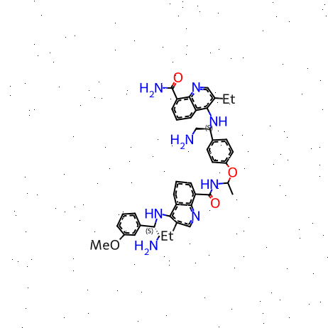 CCc1cnc2c(C(N)=O)cccc2c1N[C@H](CN)c1ccc(OC(C)NC(=O)c2cccc3c(N[C@H](CN)c4cccc(OC)c4)c(CC)cnc23)cc1